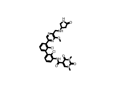 COc1nc(-c2cccc(-c3cccc(NC(=O)c4cn(C)c(=O)n(C)c4=O)c3Cl)c2Cl)cnc1CNC1CNC(=O)C1